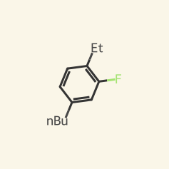 CCCCc1ccc(CC)c(F)c1